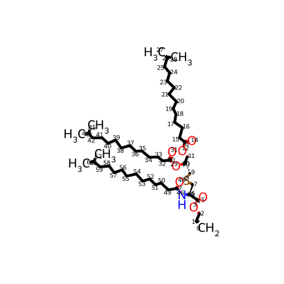 C=CCOC(=O)[C@H](CSC[C@@H](COC(=O)CCCCCCCCCCCC(C)C)OC(=O)CCCCCCCCCCCC(C)C)NC(=O)CCCCCCCCCCCC(C)C